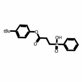 CC(C)(C)c1ccc(OC(=O)CCP(=O)(O)c2ccccc2)cc1